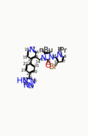 CCCCc1cn(-c2c(Br)ccn2C(C)C)c(=O)n1Cc1cnccc1-c1ccc(-c2nnn[nH]2)cc1